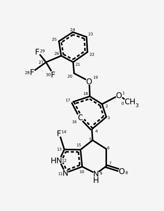 COc1cc(C2CC(=O)Nc3n[nH]c(F)c32)ccc1OCc1ccccc1C(F)(F)F